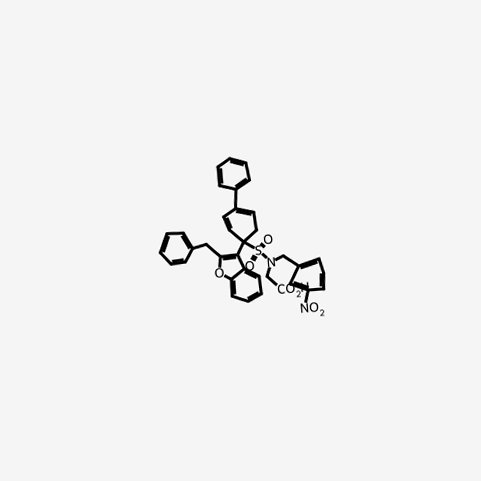 O=C(O)CN(Cc1cccc([N+](=O)[O-])c1)S(=O)(=O)C1(c2c(Cc3ccccc3)oc3ccccc23)C=CC(c2ccccc2)=CC1